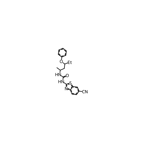 CCC(CC(C)NC(=O)Nc1nc2ccc(C#N)cc2s1)Oc1ccccc1